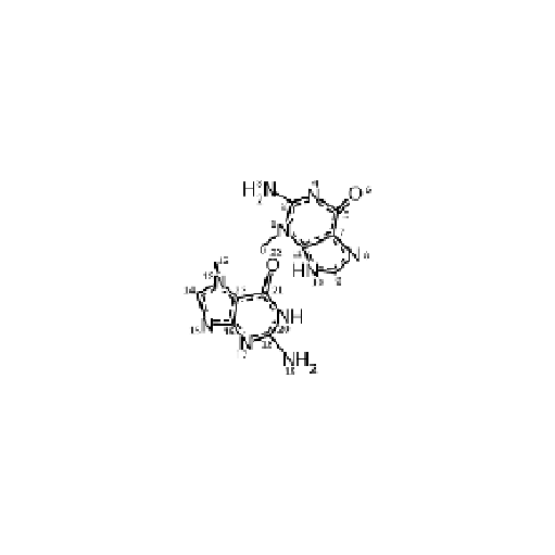 Cn1c(N)nc(=O)c2nc[nH]c21.Cn1cnc2nc(N)[nH]c(=O)c21